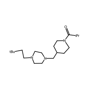 CC(C)C(=O)N1CCC(CN2CCN(CCC(C)(C)C)CC2)CC1